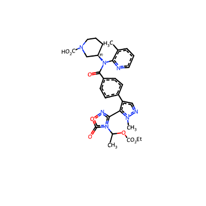 CCOC(=O)OC(C)n1c(-c2c(-c3ccc(C(=O)N(c4ncccc4C)[C@@H]4CCCN(C(=O)O)C4)cc3)cnn2C)noc1=O